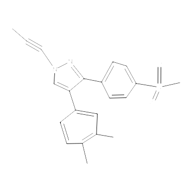 CC#Cn1cc(-c2ccc(C)c(F)c2)c(-c2ccc(S(C)(=O)=O)cc2)n1